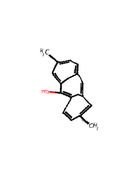 Cc1ccc2c(O)c3cc(C)ccc3cc2c1